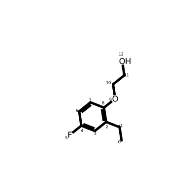 C[CH]c1cc(F)ccc1OCCO